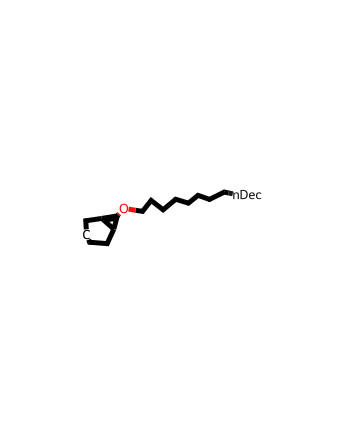 CCCCCCCCCCCCCCCCCCOC1=C2CCCCC21